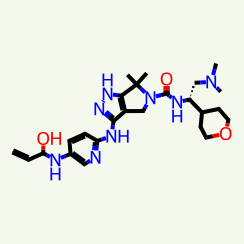 C=CC(O)Nc1ccc(Nc2n[nH]c3c2CN(C(=O)N[C@H](CN(C)C)C2CCOCC2)C3(C)C)nc1